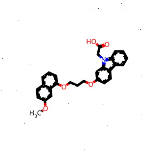 COc1ccc2cccc(OCCCOc3ccc4c5ccccc5n(CC(=O)O)c4c3)c2c1